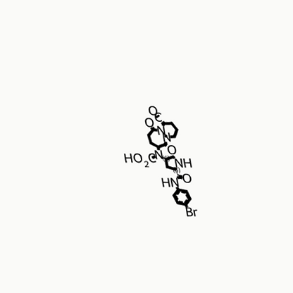 O=C=C1CCCN2C(=O)C(N(C(=O)O)[C@@H]3CN[C@H](C(=O)Nc4ccc(Br)cc4)C3)CCC(=O)N12